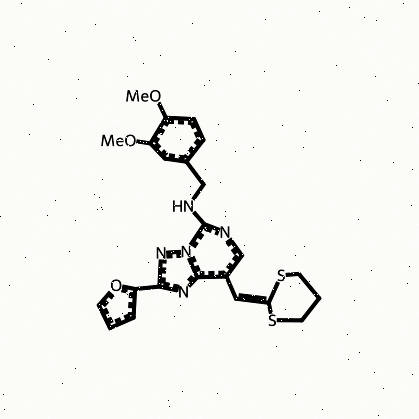 COc1ccc(CNc2ncc(C=C3SCCCS3)c3nc(-c4ccco4)nn23)cc1OC